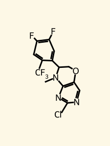 CN1c2nc(Cl)ncc2OCC1c1cc(F)c(F)cc1C(F)(F)F